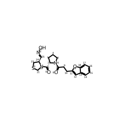 O=C([C@@H]1CCCN1C(=O)CCc1cc2ccccc2o1)N1CSC[C@H]1C=NO